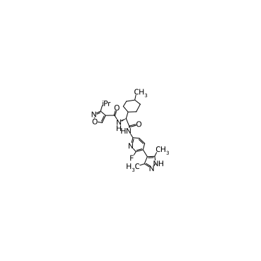 Cc1n[nH]c(C)c1-c1ccc(NC(=O)[C@@H](NC(=O)c2conc2C(C)C)C2CCC(C)CC2)nc1F